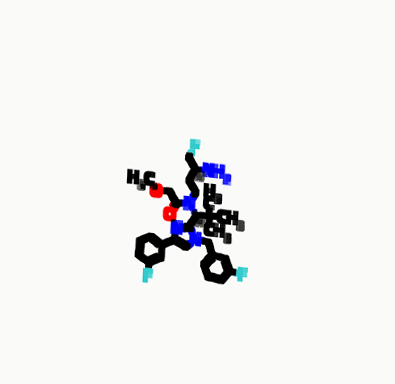 COCC(=O)N(CC[C@H](N)CF)[C@@H](c1nc(-c2cccc(F)c2)cn1Cc1cccc(F)c1)C(C)(C)C